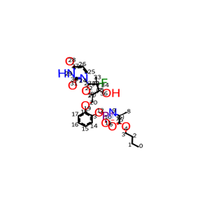 CCCCOC(=O)[C@H](C)/N=[P+](\[O-])Oc1ccccc1OC[C@H]1OC(n2ccc(=O)[nH]c2=O)[C@](C)(F)[C@@H]1O